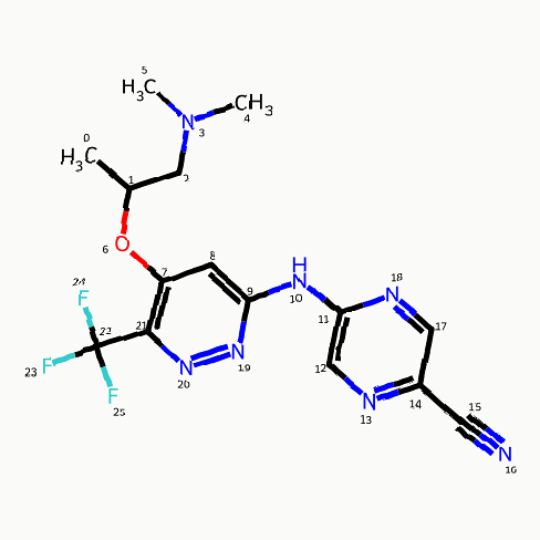 CC(CN(C)C)Oc1cc(Nc2cnc(C#N)cn2)nnc1C(F)(F)F